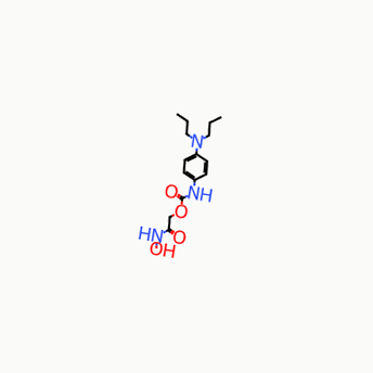 CCCN(CCC)c1ccc(NC(=O)OCC(=O)NO)cc1